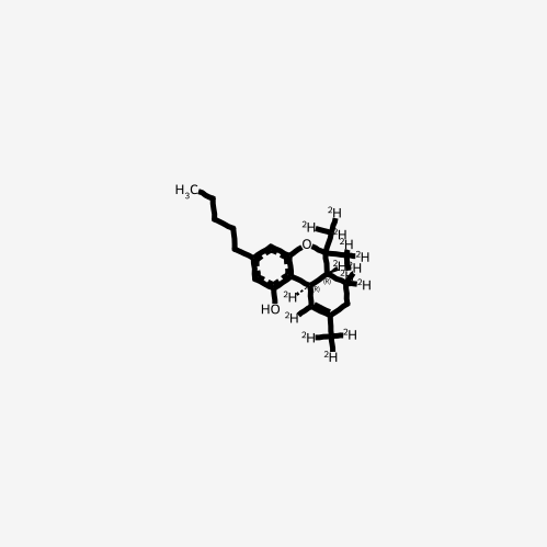 [2H]C1=C(C([2H])([2H])[2H])CC([2H])([2H])[C@@]2([2H])C(C([2H])([2H])[2H])(C([2H])([2H])[2H])Oc3cc(CCCCC)cc(O)c3[C@]12[2H]